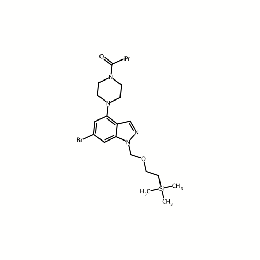 CC(C)C(=O)N1CCN(c2cc(Br)cc3c2cnn3COCC[Si](C)(C)C)CC1